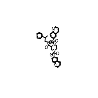 CC(CNC(=O)C1CN(S(=O)(=O)c2ccc3ncccc3c2)CCN1S(=O)(=O)c1ccc2ncccc2c1)c1ccccc1